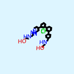 OCCNCc1ccc(-c2cccc(-c3cccc(-c4ccn5nc(CNCCO)nc5c4)c3Cl)c2Cl)cc1